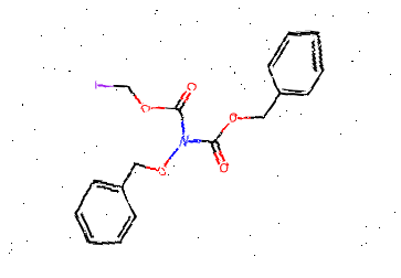 O=C(OCI)N(OCc1ccccc1)C(=O)OCc1ccccc1